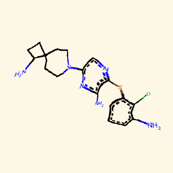 Nc1cccc(Sc2ncc(N3CCC4(CCC4N)CC3)nc2N)c1Cl